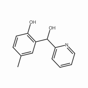 Cc1ccc(O)c(C(O)c2ccccn2)c1